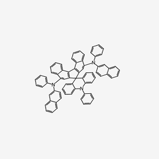 c1ccc(N2c3ccccc3C3(c4ccccc42)c2cc(N(c4ccccc4)c4ccc5ccccc5c4)c4ccccc4c2-c2c3cc(N(c3ccccc3)c3ccc4ccccc4c3)c3ccccc23)cc1